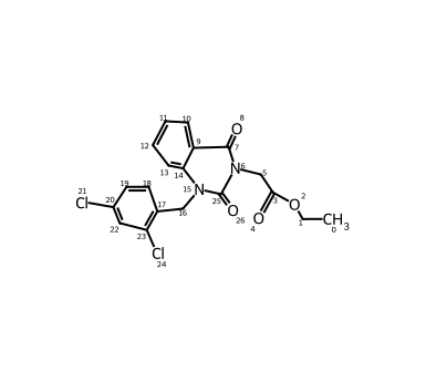 CCOC(=O)Cn1c(=O)c2ccccc2n(Cc2ccc(Cl)cc2Cl)c1=O